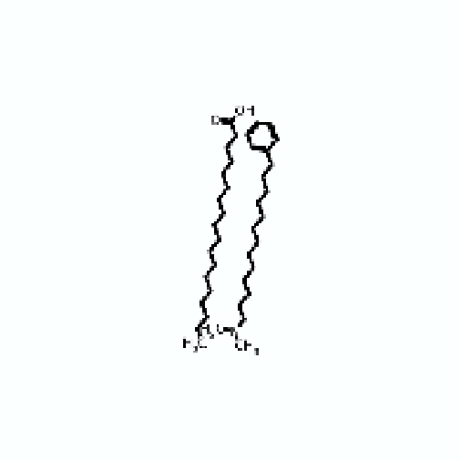 CCCCCCCCCCCCCCCCCC(=O)O.CN(C)CCCCCCCCCCCCCc1ccccc1